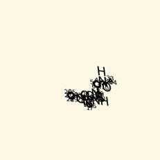 O=C(Nc1cccc(-c2csc(NC(=O)C3CCCN3C(=O)OCc3ccccc3)n2)c1)C1CC1